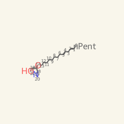 CCCCCC=CCC=CCCCCCCCCOC(CO)CN(C)C